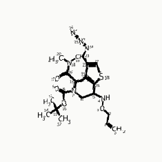 C=CCONC1CN(C(=O)OC(C)(C)C)C(C(=O)N(C)C)c2c(CN=[N+]=[N-])csc21